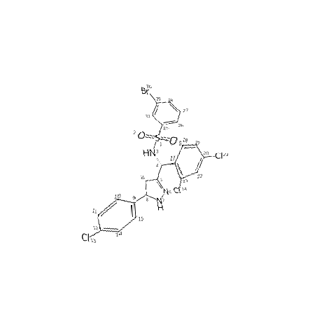 O=S(=O)(N[C@@H](C1=NNC(c2ccc(Cl)cc2)C1)c1ccc(Cl)cc1Cl)c1cccc(Br)c1